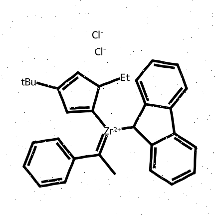 CCC1C=C(C(C)(C)C)C=[C]1/[Zr+2](=[C](/C)c1ccccc1)[CH]1c2ccccc2-c2ccccc21.[Cl-].[Cl-]